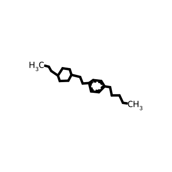 CCCCCc1ccc(CCC2CCC(CCC)CC2)cc1